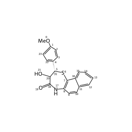 COc1ccc([C@@H]2Sc3c(ccc4ccccc34)NC(=O)C2O)cc1